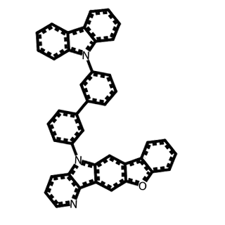 c1cc(-c2cccc(-n3c4cc5c(cc4c4ncccc43)oc3ccccc35)c2)cc(-n2c3ccccc3c3ccccc32)c1